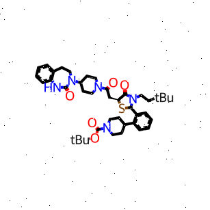 CC(C)(C)CCN1C(=O)[C@H](CC(=O)N2CCC(N3CCc4ccccc4NC3=O)CC2)SC1c1ccccc1C1CCN(C(=O)OC(C)(C)C)CC1